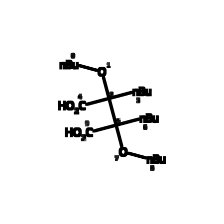 CCCCOC(CCCC)(C(=O)O)C(CCCC)(OCCCC)C(=O)O